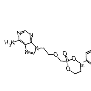 Nc1ncnc2c1ncn2CCOCP1(=O)OCC[C@@H](c2ccccc2)O1